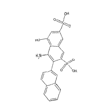 Nc1c(-c2ccc3ccccc3c2)c(S(=O)(=O)O)cc2cc(S(=O)(=O)O)cc(O)c12